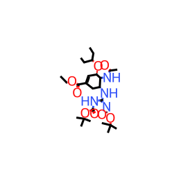 CCOC(=O)C1=C[C@@H](OC(CC)CC)C(NC(C)=O)[C@@H](N/C(=N/C(=O)OC(C)(C)C)NC(=O)OC(C)(C)C)C1